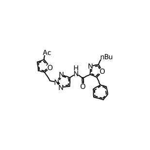 CCCCc1nc(C(=O)Nc2cnn(Cc3ccc(C(C)=O)o3)n2)c(-c2ccccc2)o1